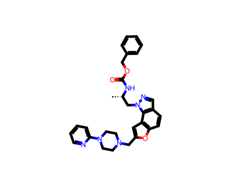 C[C@@H](Cn1ncc2ccc3oc(CN4CCN(c5ccccn5)CC4)cc3c21)NC(=O)OCc1ccccc1